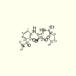 CCC(Nc1c(Nc2cccc(C(=O)N(C)C)c2O)c(=O)c1=O)[C@H]1CCC(C)O1